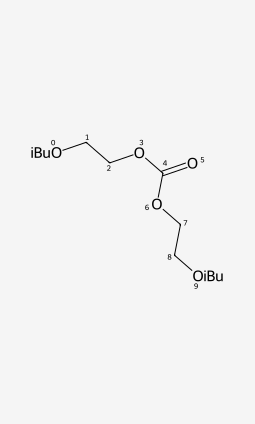 CC(C)COCCOC(=O)OCCOCC(C)C